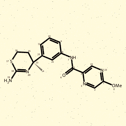 COc1cnc(C(=O)Nc2cccc([C@]3(C)CCSC(N)=N3)c2)cn1